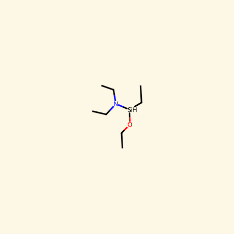 CCO[SiH](CC)N(CC)CC